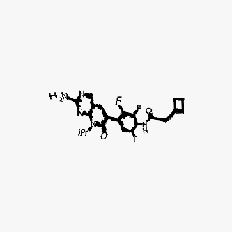 CC(C)n1c(=O)c(-c2cc(F)c(NC(=O)CC3CCC3)c(F)c2F)cc2cnc(N)nc21